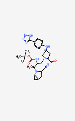 C=C(C(CN1C[C@@H](Nc2ccc(-c3nnn[nH]3)cc2)CC1C=O)NC(=O)OC(C)(C)C)N1C(C#N)CC2CC21